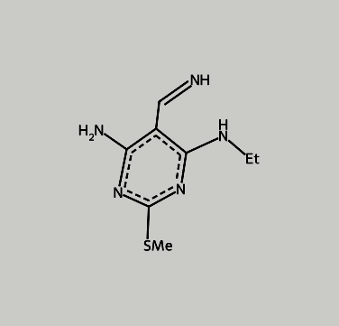 CCNc1nc(SC)nc(N)c1C=N